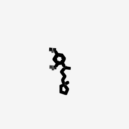 CN(CCC[N+]1(C)CCCC1)c1ccc(N)cc1N